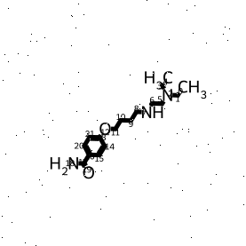 CCN(CC)CCNCCCCOc1ccc(C(N)=O)cc1